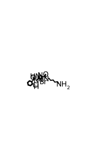 NCCCCCNC(=O)c1n[nH]c(NC(=O)c2ccccc2Cl)c1Br